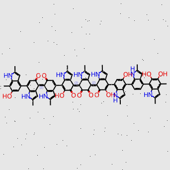 Cc1cc2c([nH]1)C(c1cc(O)c(C)c3[nH]c(C)cc13)=CC(=O)/C2=C1\C(=O)C=C(C2=C(O)C(=O)/C(=C3\C(=O)C(=O)/C(=C4\C(=O)C(O)=C(c5cc(O)c(-c6ccc(-c7c(O)c(O)c(C)c8cc(C)[nH]c78)c7cc(C)[nH]c67)c6cc(C)[nH]c56)c5cc(C)[nH]c54)c4cc(C)[nH]c43)c3cc(C)[nH]c32)c2cc(C)[nH]c21